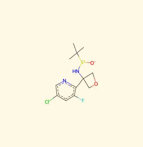 CC(C)(C)[S+]([O-])NC1(c2ncc(Cl)cc2F)COC1